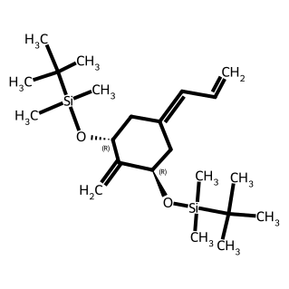 C=CC=C1C[C@@H](O[Si](C)(C)C(C)(C)C)C(=C)[C@H](O[Si](C)(C)C(C)(C)C)C1